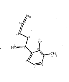 Cc1cccc([C@@H](O)CN=[N+]=[N-])c1Br